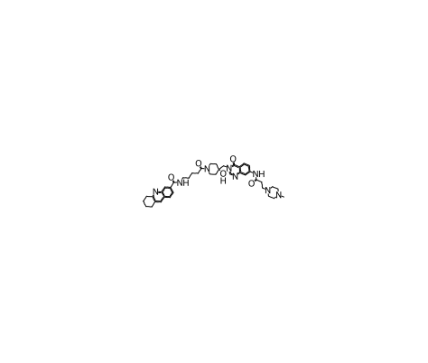 CN1CCN(CCC(=O)Nc2ccc3c(=O)n(CC4(O)CCN(C(=O)CCCCNC(=O)c5ccc6cc7c(nc6c5)CCCC7)CC4)cnc3c2)CC1